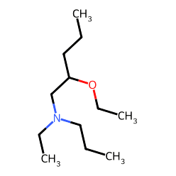 CCCC(CN(CC)CCC)OCC